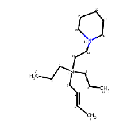 C/C=C/C[Si](CCC)(CCC)CCN1CCCCC1